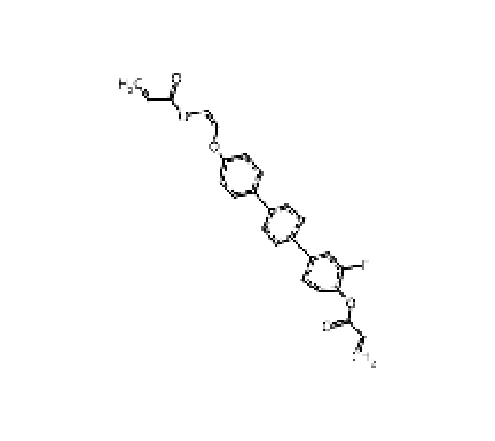 C=CC(=O)O/C=C\Oc1ccc(-c2ccc(-c3ccc(OC(=O)C=C)c(F)c3)cc2)cc1